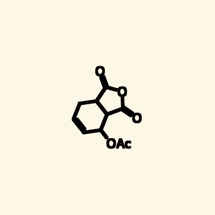 CC(=O)OC1C=CCC2C(=O)OC(=O)C12